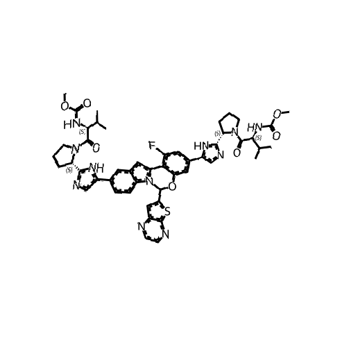 COC(=O)N[C@H](C(=O)N1CCC[C@H]1c1ncc(-c2cc(F)c3c(c2)OC(c2cc4nccnc4s2)n2c-3cc3cc(-c4cnc([C@@H]5CCCN5C(=O)[C@@H](NC(=O)OC)C(C)C)[nH]4)ccc32)[nH]1)C(C)C